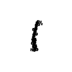 C=CC(=O)OCCOC(=O)CCC(=O)OCCc1ccc(OC(=O)C2CCC(C(=O)O)CC2)cc1